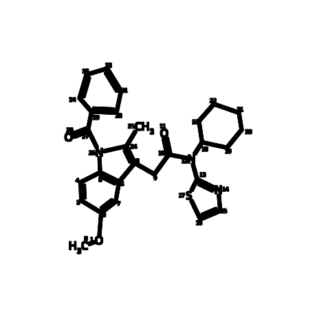 COc1ccc2c(c1)c(CC(=O)N(c1nccs1)C1CCCCC1)c(C)n2C(=O)c1ccccc1